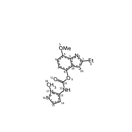 CCc1nc2c(OC)ccc(OC(=O)Nc3ccnn3C)c2s1